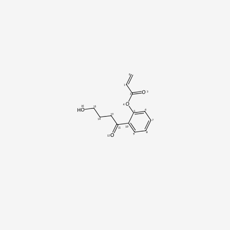 C=CC(=O)Oc1ccccc1C(=O)CCCO